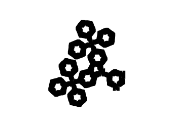 c1ccc(S(c2ccccc2)(c2ccccc2)c2ccc3c(c2)c2cc(S(c4ccccc4)(c4ccccc4)c4ccccc4)ccc2n3-c2cncnc2)cc1